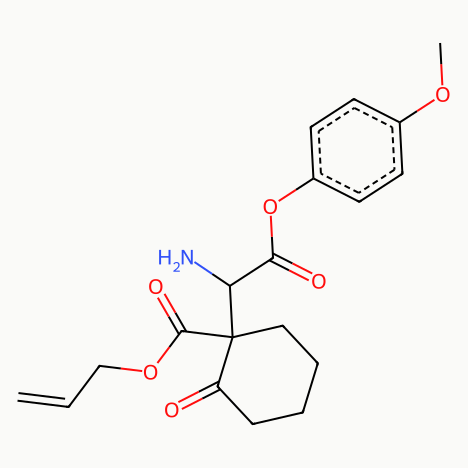 C=CCOC(=O)C1(C(N)C(=O)Oc2ccc(OC)cc2)CCCCC1=O